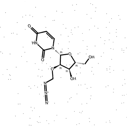 [N-]=[N+]=NCO[C@@H]1[C@H](O)[C@@H](CO)O[C@H]1n1ccc(=O)[nH]c1=O